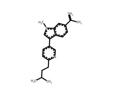 C=C(C)c1ccc2c(-c3ccc(CCC(C)C)nc3)cn(C)c2c1